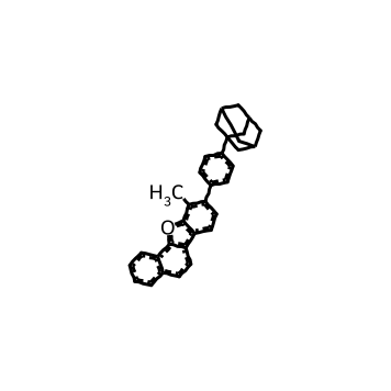 Cc1c(-c2ccc(C34CC5CC(CC(C5)C3)C4)cc2)ccc2c1oc1c3ccccc3ccc21